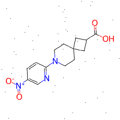 O=C(O)C1CC2(CCN(c3ccc([N+](=O)[O-])cn3)CC2)C1